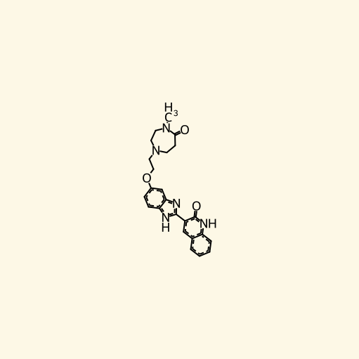 CN1CCN(CCOc2ccc3[nH]c(-c4cc5ccccc5[nH]c4=O)nc3c2)CCC1=O